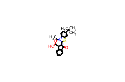 CCN1/C(=C2/C(=O)c3ccccc3C2C(=O)O)Sc2cc(C(C)(C)C)ccc21